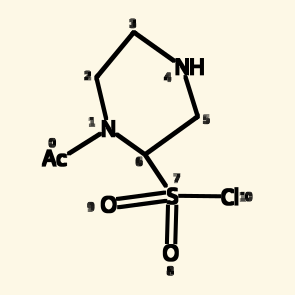 CC(=O)N1CCNCC1S(=O)(=O)Cl